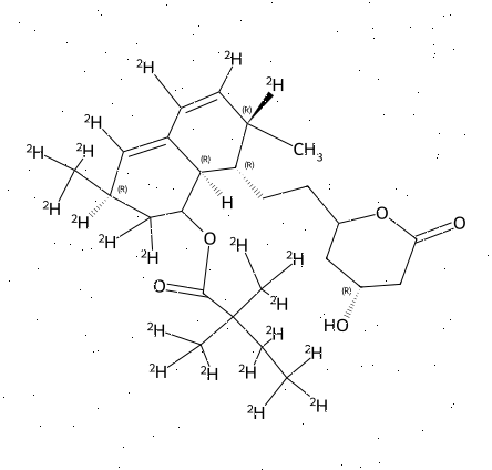 [2H]C1=C([2H])[C@]([2H])(C)[C@H](CCC2C[C@@H](O)CC(=O)O2)[C@@H]2C1=C([2H])[C@]([2H])(C([2H])([2H])[2H])C([2H])([2H])C2OC(=O)C(C([2H])([2H])[2H])(C([2H])([2H])[2H])C([2H])([2H])C([2H])([2H])[2H]